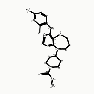 Cc1nc(C(F)(F)F)ccc1Nc1ncnc2c1OCCCN2C1CCN(C(=O)OC(C)(C)C)CC1